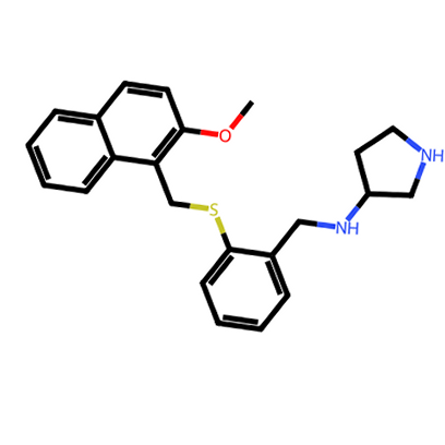 COc1ccc2ccccc2c1CSc1ccccc1CNC1CCNC1